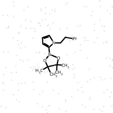 CC(C)CCn1cccc1B1OC(C)(C)C(C)(C)O1